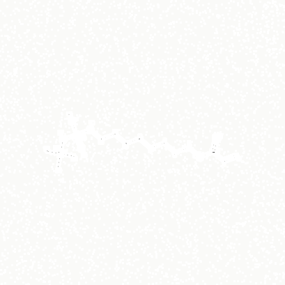 C=CC(=O)OCCCCCCCCOP(=O)([O-])O[N+](C)(C)C